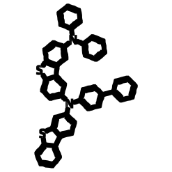 c1ccc(-c2ccc(N(c3ccc4c(c3)sc3ccccc34)c3ccc4sc5ccc(N(c6ccccc6)c6ccccc6)cc5c4c3)cc2)cc1